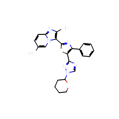 Cc1nc2ccc(C=O)cn2c1-c1nc(-c2ccccc2)c(-c2ncn(C3CCCCO3)n2)s1